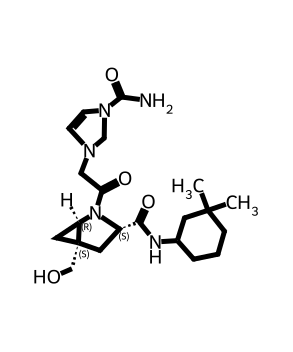 CC1(C)CCCC(NC(=O)[C@@H]2C[C@@]3(CO)C[C@H]3N2C(=O)CN2C=CN(C(N)=O)C2)C1